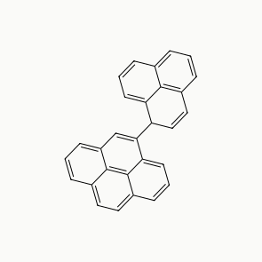 C1=CC(c2cc3cccc4ccc5cccc2c5c43)c2cccc3cccc1c23